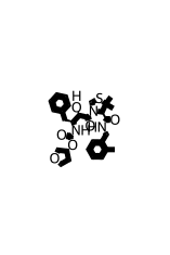 Cc1ccccc1CNC(=O)[C@H]1N(C(=O)[C@@H](O)[C@H](Cc2ccccc2)NC(=O)O[C@H]2CCOC2)CSC1(C)C